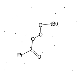 CC(C)C(=O)OOOC(C)(C)C